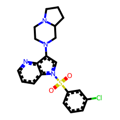 O=S(=O)(c1cccc(Cl)c1)n1cc(N2CCN3CCCC3C2)c2ncccc21